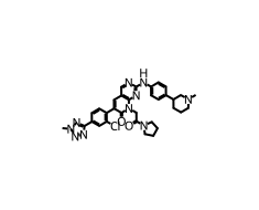 CN1CCCC(c2ccc(Nc3ncc4cc(-c5ccc(-c6nnn(C)n6)cc5Cl)c(=O)n(CC(=O)N5CCCC5)c4n3)cc2)C1